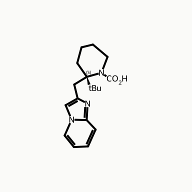 CC(C)(C)[C@@]1(Cc2cn3ccccc3n2)CCCCN1C(=O)O